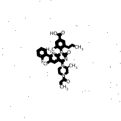 C=CC(=O)N1CCN(c2nc(=O)n(-c3c(C)cc(C(=O)O)cc3CCC)c3nc(-c4ccccc4F)c(Cl)cc23)[C@@H](C)C1